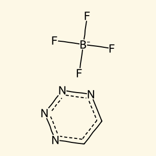 F[B-](F)(F)F.c1cnnnn1